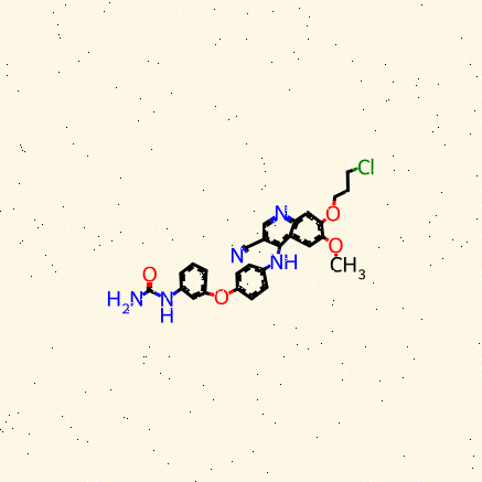 COc1cc2c(Nc3ccc(Oc4cccc(NC(N)=O)c4)cc3)c(C#N)cnc2cc1OCCCCl